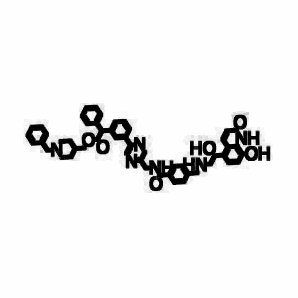 O=C(NCc1cnc(-c2cccc(C(C(=O)OCC3CCN(Cc4ccccc4)CC3)c3ccccc3)c2)cn1)c1ccc(CNCC(O)c2ccc(O)c3[nH]c(=O)ccc23)cc1